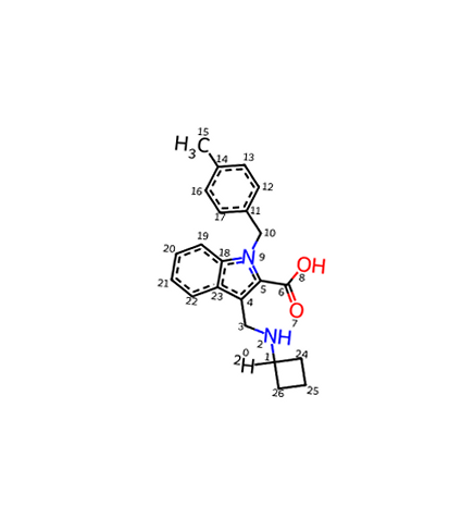 [2H]C1(NCc2c(C(=O)O)n(Cc3ccc(C)cc3)c3ccccc23)CCC1